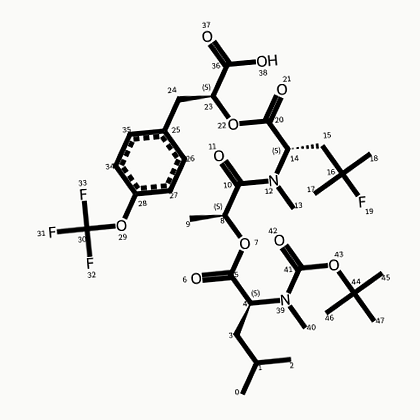 CC(C)C[C@@H](C(=O)O[C@@H](C)C(=O)N(C)[C@@H](CC(C)(C)F)C(=O)O[C@@H](Cc1ccc(OC(F)(F)F)cc1)C(=O)O)N(C)C(=O)OC(C)(C)C